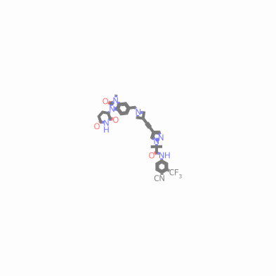 Cn1c(=O)n(C2CCC(=O)NC2=O)c2ccc(CN3CC(C#Cc4cnn(C(C)(C)C(=O)Nc5ccc(C#N)c(C(F)(F)F)c5)c4)C3)cc21